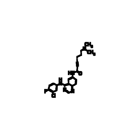 CN(C)CCCC#CC(=O)Nc1ccc2ncnc(Nc3ccc(F)c(Cl)c3)c2c1